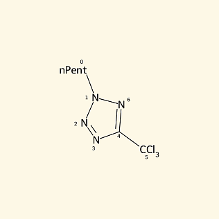 CCCCCn1nnc(C(Cl)(Cl)Cl)n1